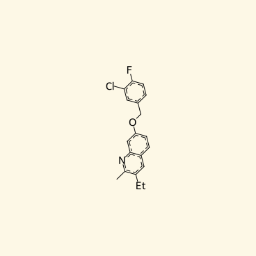 CCc1cc2ccc(OCc3ccc(F)c(Cl)c3)cc2nc1C